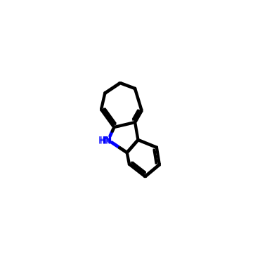 C1=CC2NC3=CCCCC=C3C2C=C1